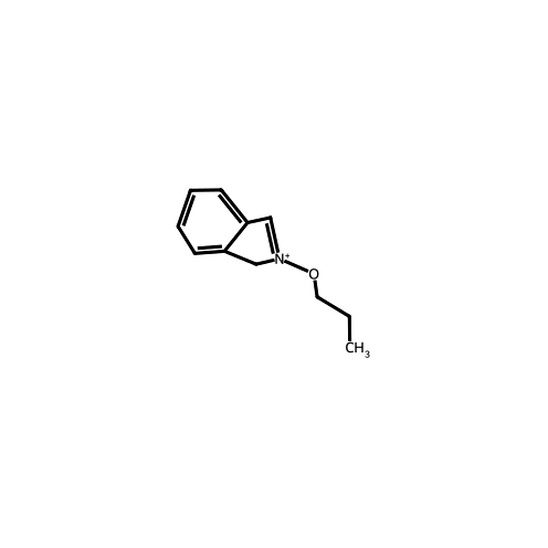 CCCO[N+]1=Cc2ccccc2C1